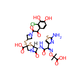 CC(C)(O/N=C(\C(=O)N[C@@H]1C(=O)N2C[C@](SC3CN(C(=O)C(=O)c4ccc(O)c(O)c4Cl)C3)(C(=O)O)S[C@H]12)c1csc(N)n1)C(=O)O